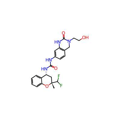 C[C@]1(C(F)F)C[C@@H](NC(=O)Nc2ccc3c(c2)NC(=O)N(CCO)C3)c2ccccc2O1